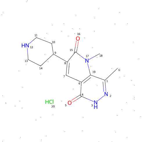 Cc1n[nH]c(=O)c2cc(C3CCNCC3)c(=O)n(C)c12.Cl